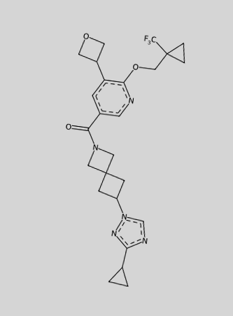 O=C(c1cnc(OCC2(C(F)(F)F)CC2)c(C2COC2)c1)N1CC2(CC(n3cnc(C4CC4)n3)C2)C1